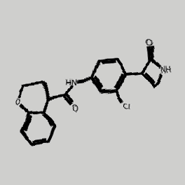 O=C1NC=C1c1ccc(NC(=O)C2CCOc3ccccc32)cc1Cl